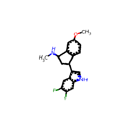 CNC1CC(c2c[nH]c3cc(F)c(F)cc23)c2ccc(OC)cc21